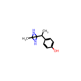 CC(c1ccc(O)cc1)C12NC1(C)N2